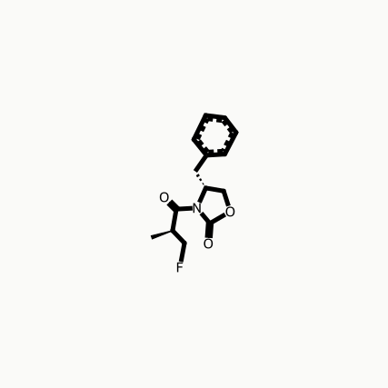 C[C@H](CF)C(=O)N1C(=O)OC[C@H]1Cc1ccccc1